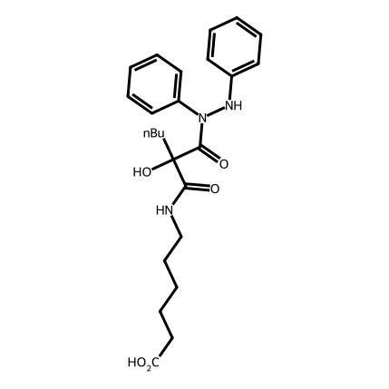 CCCCC(O)(C(=O)NCCCCCC(=O)O)C(=O)N(Nc1ccccc1)c1ccccc1